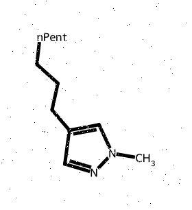 CCCCCCCCc1cnn(C)c1